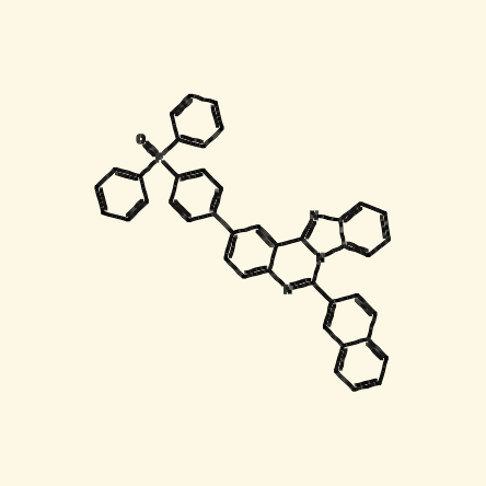 O=P(c1ccccc1)(c1ccccc1)c1ccc(-c2ccc3nc(-c4ccc5ccccc5c4)n4c5ccccc5nc4c3c2)cc1